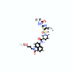 COCCCN1C(=O)c2cccc3c(NC(=O)C4CCCN(S(=O)(=O)c5sc(NC(C)=O)nc5C)C4)ccc1c23